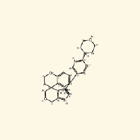 c1ccc2c(c1)OCCC21COCc2nc3ccc(-c4cnc(N5CCOCC5)nc4)nc3n21